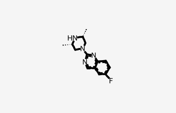 C[C@@H]1CN(c2ncc3cc(F)ccc3n2)C[C@H](C)N1